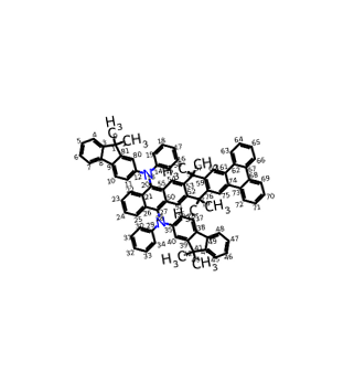 CC1(C)c2ccccc2-c2ccc(N(c3ccccc3)c3c4ccccc4c(N(c4ccccc4)c4ccc5c(c4)C(C)(C)c4ccccc4-5)c4cc5c(cc34)C(C)(C)c3cc4c6ccccc6c6ccccc6c4cc3C5(C)C)cc21